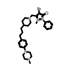 CN1CCN(c2ccc(CCCC3CCN(Cc4c(Br)c(=O)n(-c5ccccc5)n4C)CC3)cc2)CC1